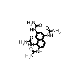 NC(=O)Nc1cc(NC(N)=O)c2ccc(NC(N)=O)c(NC(N)=O)c2c1